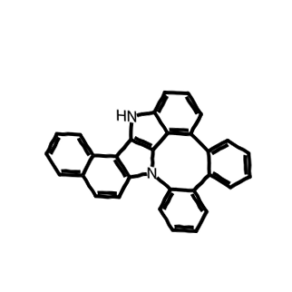 c1ccc2c(c1)ccc1c2c2[nH]c3cccc4c5ccccc5c5ccccc5n1c2c34